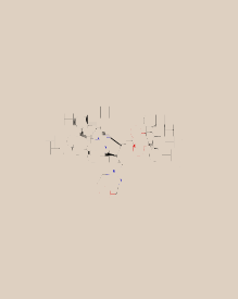 CC(C)[Si](C(C)C)(C(C)C)n1cc(CN2CCOCC2)c(B2OC(C)(C)C(C)(C)O2)c1